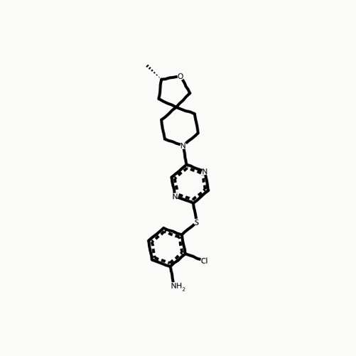 C[C@H]1CC2(CCN(c3cnc(Sc4cccc(N)c4Cl)cn3)CC2)CO1